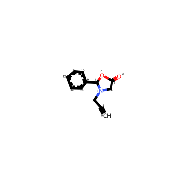 C#CCN1CC(=O)OC1c1ccccc1